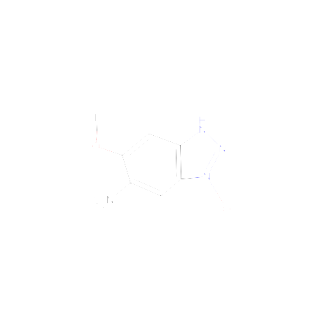 CCOc1cc2[nH]n[n+]([O-])c2cc1[N+](=O)[O-]